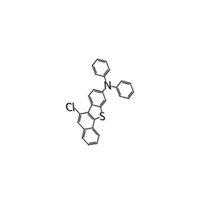 Clc1cc2ccccc2c2sc3cc(N(c4ccccc4)c4ccccc4)ccc3c12